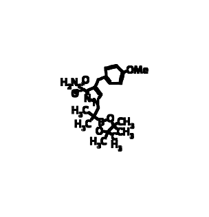 COc1ccc(Cc2cn(CC(C)(C)B3OC(C)(C)C(C)(C)O3)nc2S(N)(=O)=O)cc1